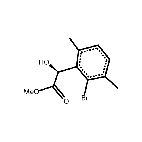 COC(=O)[C@@H](O)c1c(C)ccc(C)c1Br